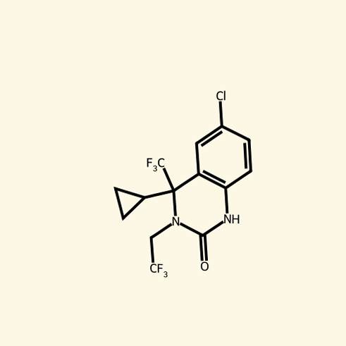 O=C1Nc2ccc(Cl)cc2C(C2CC2)(C(F)(F)F)N1CC(F)(F)F